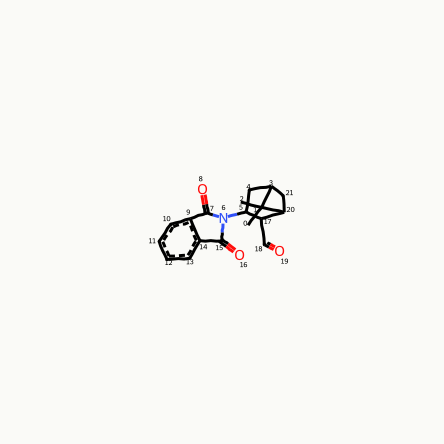 CC1(C)C2CC(N3C(=O)c4ccccc4C3=O)C(C=O)C1C2